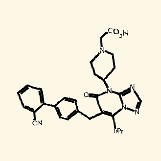 CCCc1c(Cc2ccc(-c3ccccc3C#N)cc2)c(=O)n(C2CCN(CC(=O)O)CC2)c2ncnn12